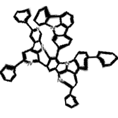 c1ccc(-c2ccc3c(c2)c2cc(-c4ccccc4)nc4c5cc6c7nc(-c8ccccc8)cc8c9cc(-c%10ccccc%10)ncc9n(c6c(-c6ccc9c%10cccc%11c%12ccccc%12n(c9c6)c%11%10)c5n3c24)c87)cc1